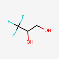 OCC(O)C(F)(F)F